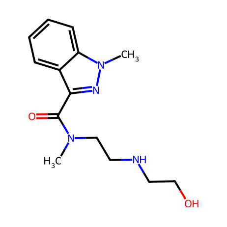 CN(CCNCCO)C(=O)c1nn(C)c2ccccc12